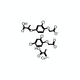 C=C(C)C(=O)O.C=C(C)C(=O)O.O=C([O-])COc1ccc(Cl)cc1Cl.O=C([O-])COc1ccc(Cl)cc1Cl.[Cu+2]